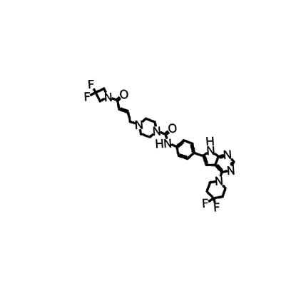 O=C(/C=C/CN1CCN(C(=O)Nc2ccc(-c3cc4c(N5CCC(F)(F)CC5)ncnc4[nH]3)cc2)CC1)N1CC(F)(F)C1